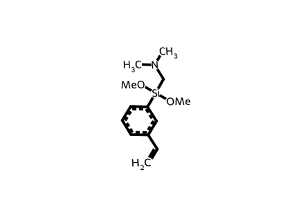 C=Cc1cccc([Si](CN(C)C)(OC)OC)c1